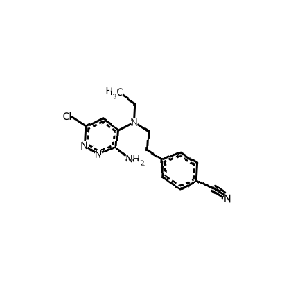 CCN(CCc1ccc(C#N)cc1)c1cc(Cl)nnc1N